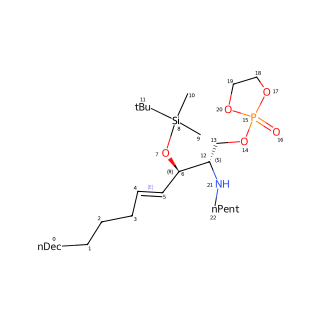 CCCCCCCCCCCCC/C=C/[C@@H](O[Si](C)(C)C(C)(C)C)[C@H](COP1(=O)OCCO1)NCCCCC